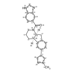 Cn1cc(-c2ccc3c(c2)[C@H]2CCCN(C(=O)c4ccc5[nH]cnc5c4)[C@H]2C3)cn1